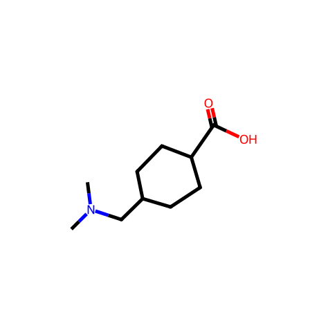 CN(C)CC1CCC(C(=O)O)CC1